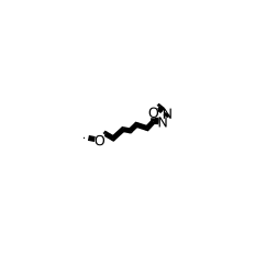 [CH2]OCCCCCCc1nnco1